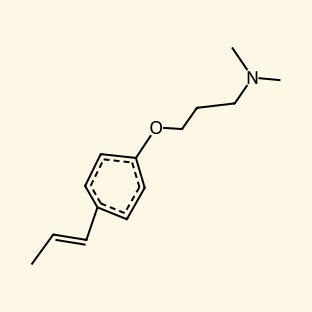 C/C=C/c1ccc(OCCCN(C)C)cc1